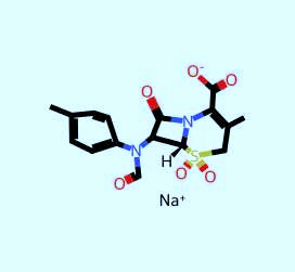 CC1=C(C(=O)[O-])N2C(=O)C(N(C=O)c3ccc(C)cc3)[C@H]2S(=O)(=O)C1.[Na+]